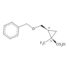 CCOC(=O)[C@]1(C(F)(F)F)C[C@@H]1COCc1ccccc1